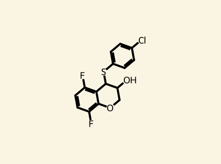 OC1COc2c(F)ccc(F)c2C1Sc1ccc(Cl)cc1